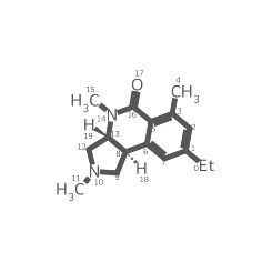 CCc1cc(C)c2c(c1)[C@H]1CN(C)C[C@@H]1N(C)C2=O